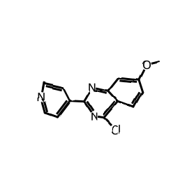 COc1ccc2c(Cl)nc(-c3ccncc3)nc2c1